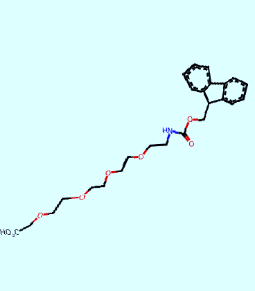 O=C(O)COCCOCCOCCOCCNC(=O)OCC1c2ccccc2-c2ccccc21